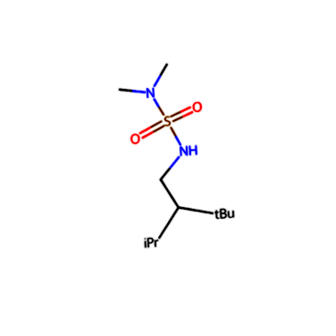 CC(C)C(CNS(=O)(=O)N(C)C)C(C)(C)C